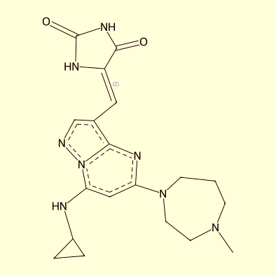 CN1CCCN(c2cc(NC3CC3)n3ncc(/C=C4\NC(=O)NC4=O)c3n2)CC1